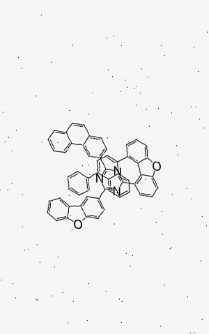 c1ccc(-c2ccc(-c3cccc4oc5cccc(-c6nc(-c7ccc8ccc9ccccc9c8c7)nc(-c7ccc8oc9ccccc9c8c7)n6)c5c34)c3ccccc23)cc1